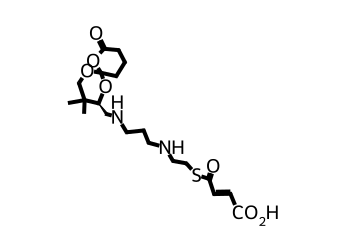 CC1(C)COC2(CCCC(=O)O2)O[C@H]1CNCCCNCCSC(=O)/C=C/C(=O)O